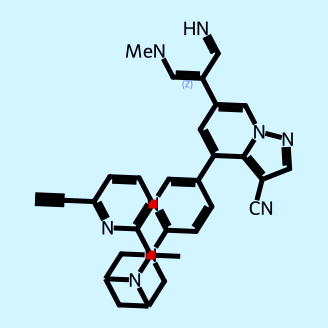 C#Cc1cccc(C(C)N2C3CC2CN(c2ccc(-c4cc(/C(C=N)=C/NC)cn5ncc(C#N)c45)cn2)C3)n1